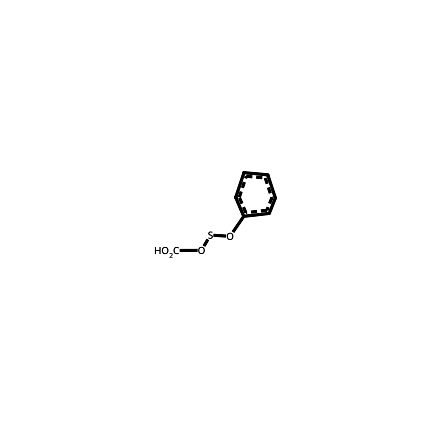 O=C(O)OSOc1ccccc1